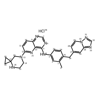 Cc1cc(Nc2ncnc3ccc(N4CCNC5(CC5)C4)nc23)ccc1Cc1ccn2ncnc2c1.Cl